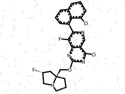 Fc1c(-c2cccc3cccc(Cl)c23)ncc2c(Cl)nc(OC[C@@]34CCCN3C[C@H](F)C4)nc12